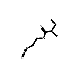 CCC(C)C(=O)OCCN=[N+]=[N-]